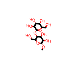 CO[C@@H]1OC(CO)[C@@H](O[C@@H]2OC(CO)[C@H](O)[C@@H](O)C2O)[C@@H](O)C1O